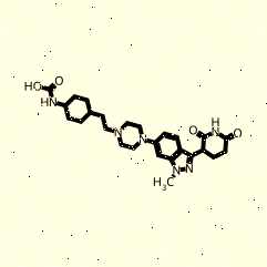 Cn1nc(C2CCC(=O)NC2=O)c2ccc(N3CCN(CCC4CCC(NC(=O)O)CC4)CC3)cc21